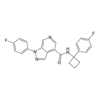 O=C(NC1(c2ccc(F)cc2)CCC1)c1cncc2c1cnn2-c1ccc(F)cc1